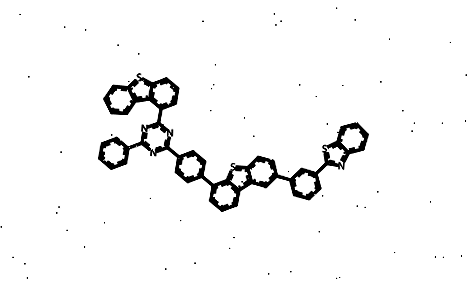 c1ccc(-c2nc(-c3ccc(-c4cccc5c4sc4ccc(-c6cccc(-c7nc8ccccc8s7)c6)cc45)cc3)nc(-c3cccc4sc5ccccc5c34)n2)cc1